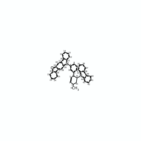 CC1C=CC(c2cccc(-n3c4ccccc4c4cc5oc6ccccc6c5cc43)c2)C(n2c3ccccc3c3ccccc32)C1